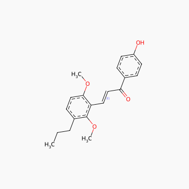 CCCc1ccc(OC)c(/C=C/C(=O)c2ccc(O)cc2)c1OC